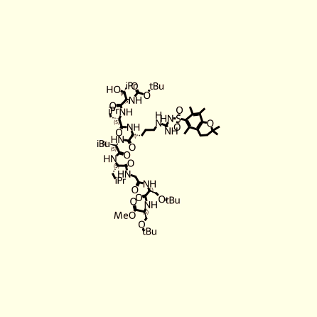 CC[C@H](C)[C@H](NC(=O)[C@@H](CCCNC(=N)NS(=O)(=O)c1c(C)c(C)c2c(c1C)CCC(C)(C)O2)NC(=O)[C@H](CC(C)C)NC(=O)[C@@H](NC(=O)OC(C)(C)C)[C@H](O)C(C)C)C(=O)N[C@@H](CC(C)C)C(=O)NCC(=O)N[C@@H](COC(C)(C)C)C(=O)N[C@@H](COC(C)(C)C)C(=O)OC